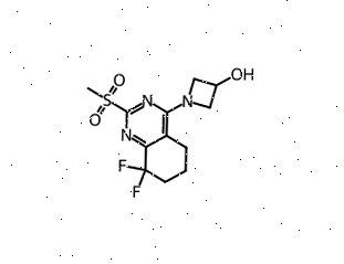 CS(=O)(=O)c1nc(N2CC(O)C2)c2c(n1)C(F)(F)CCC2